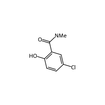 CNC(=O)c1cc(Cl)ccc1O